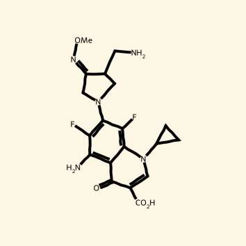 CON=C1CN(c2c(F)c(N)c3c(=O)c(C(=O)O)cn(C4CC4)c3c2F)CC1CN